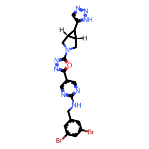 Brc1cc(Br)cc(CNc2ncc(-c3nnc(N4C[C@@H]5C(c6cnn[nH]6)[C@@H]5C4)o3)cn2)c1